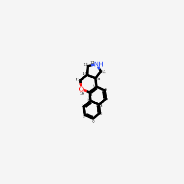 c1ccc2c3c(ccc2c1)C1CNCC1CO3